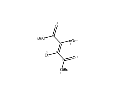 CCCCCCCCC(C(=O)OCC(C)C)=C(CC)C(=O)OCC(C)C